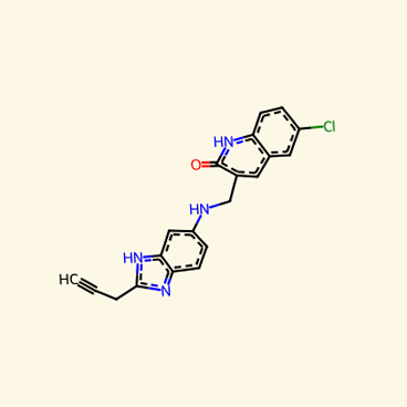 C#CCc1nc2ccc(NCc3cc4cc(Cl)ccc4[nH]c3=O)cc2[nH]1